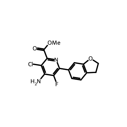 COC(=O)c1nc(-c2ccc3c(c2)OCC3)c(F)c(N)c1Cl